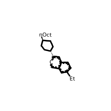 CCCCCCCC[C@H]1CC[C@H](c2ccc3cc(CC)ccc3c2)CC1